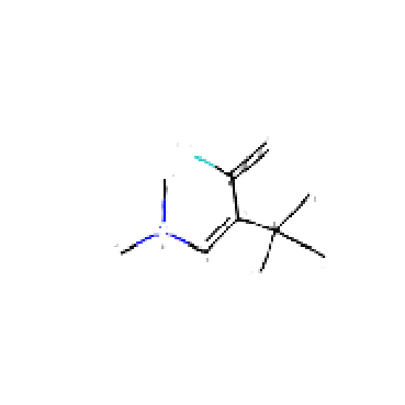 C=C(F)/C(=C\N(C)C)C(C)(C)C